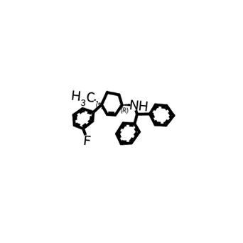 C[C@@]1(c2cccc(F)c2)C=C[C@H](NC(c2ccccc2)c2ccccc2)CC1